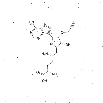 C#CCO[C@H]1C(n2cnc3c(N)ncnc32)O[C@H](C[C@@H](N)CC[C@H](N)C(=O)O)[C@H]1O